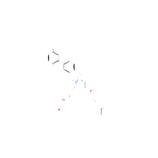 CC(=O)OCOC(=O)[C@H](O)CN(Cc1ccc(-c2cc(Cl)ccc2F)cc1)NCOCC(=O)OC(C)(C)C